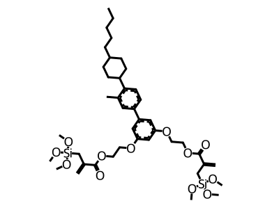 C=C(C[Si](OC)(OC)OC)C(=O)OCCOc1cc(OCCOC(=O)C(=C)C[Si](OC)(OC)OC)cc(-c2ccc(C3CCC(CCCCC)CC3)c(C)c2)c1